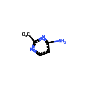 Nc1ccnc(C(Cl)(Cl)Cl)n1